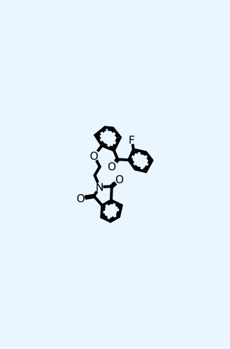 O=C(c1ccccc1F)c1ccccc1OCCN1C(=O)c2ccccc2C1=O